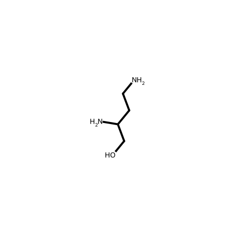 NCCC(N)CO